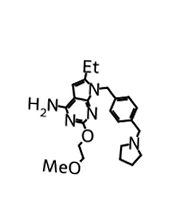 CCc1cc2c(N)nc(OCCOC)nc2n1Cc1ccc(CN2CCCC2)cc1